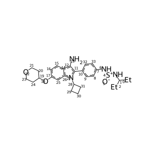 CCC(CC)N[S+]([O-])Nc1ccc(-c2c(N)c3ccc(OC4CCOCC4)cc3n2C2CCC2)cc1